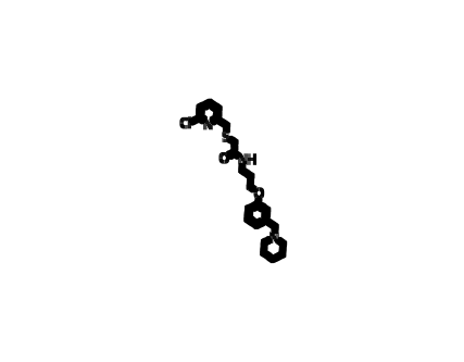 O=C(CSCc1cccc(Cl)n1)NCCCOc1cccc(CN2CCCCC2)c1